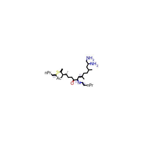 C=C(S/C(=C\CCC)C(C)=O)C(C)[C@H](C)CCC(=O)C(/C=C(\C)CCC(C)CC(N)CN)=N/C=C/CCC